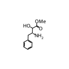 COC(=O)C(O)[C@@H](N)Cc1ccccc1